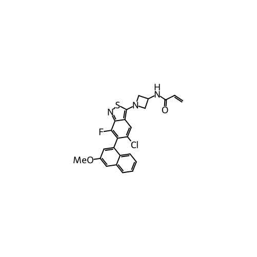 C=CC(=O)NC1CN(c2snc3c(F)c(-c4cc(OC)cc5ccccc45)c(Cl)cc23)C1